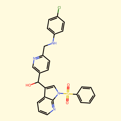 O=S(=O)(c1ccccc1)n1cc(C(O)c2ccc(CNc3ccc(Cl)cc3)nc2)c2cccnc21